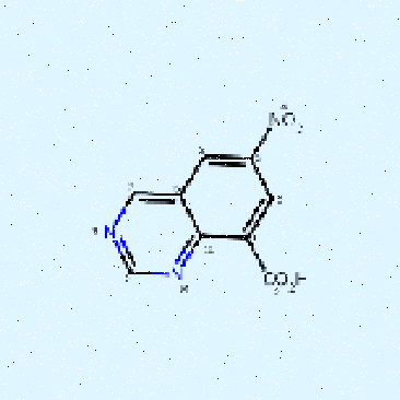 O=C(O)c1cc([N+](=O)[O-])cc2cncnc12